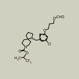 CC(OC(=O)N1CCC2(CCCN2Cc2cc(Cl)cc(OCCCOC=O)c2)CC1)C(F)(F)F